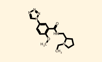 CCN1CCCC1CNC(=O)c1cc(-n2cnnn2)ccc1OC